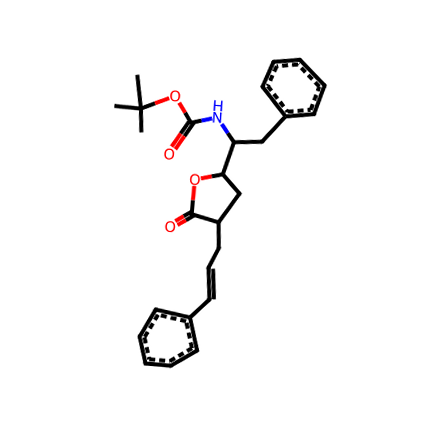 CC(C)(C)OC(=O)NC(Cc1ccccc1)C1CC(CC=Cc2ccccc2)C(=O)O1